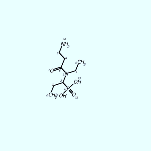 CCC(N(CC)C(=O)CCN)P(=O)(O)O